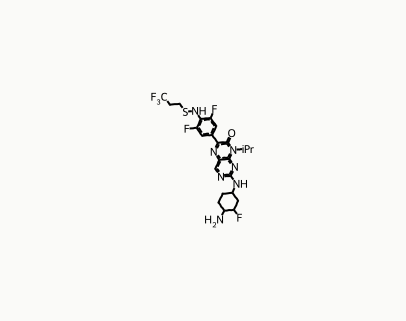 CC(C)n1c(=O)c(-c2cc(F)c(NSCCC(F)(F)F)c(F)c2)nc2cnc(NC3CCC(N)C(F)C3)nc21